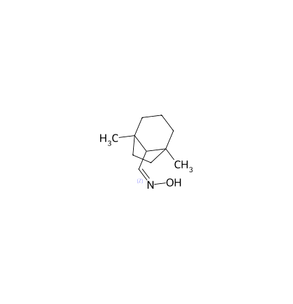 CC12CCCC(C)(CC1)C2/C=N\O